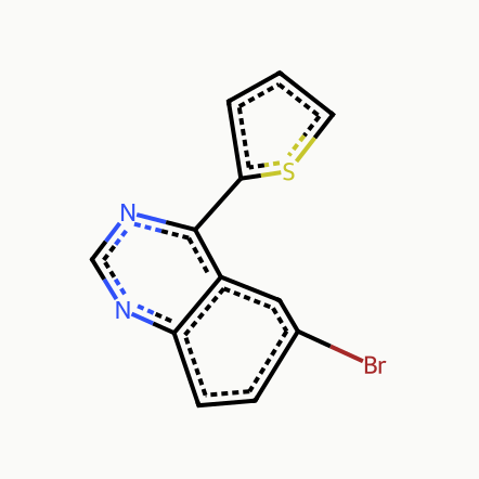 Brc1ccc2ncnc(-c3cccs3)c2c1